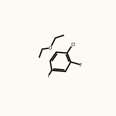 CCOCC.Fc1cc(I)ccc1Cl